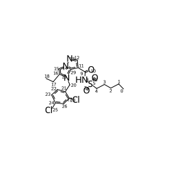 CCCCCS(=O)(=O)NC(=O)c1cnn2cc(CC)n(Cc3ccc(Cl)cc3Cl)c12